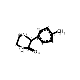 Cc1ccc(C2NCCNC2=O)cc1